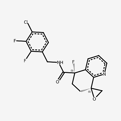 O=C(NCc1ccc(Cl)c(F)c1F)[C@]1(F)CC[C@@]2(CO2)c2ncccc21